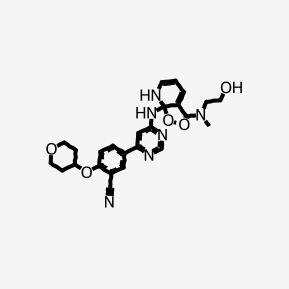 COC1(Nc2cc(-c3ccc(OC4CCOCC4)c(C#N)c3)ncn2)NC=CC=C1C(=O)N(C)CCO